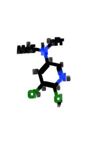 CCCN(SC)c1cnc(Cl)c(Cl)c1